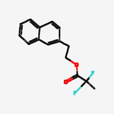 CC(F)(F)C(=O)OCCc1ccc2ccccc2c1